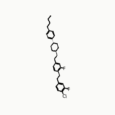 CCCCc1ccc([C@H]2CC[C@H](CCc3ccc(CCc4ccc(Cl)c(F)c4)c(F)c3)CC2)cc1